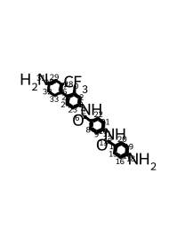 Cc1cc(NC(=O)c2ccc(NC(=O)c3ccc(N)cc3)cc2)ccc1C1=C(C(F)(F)F)C=C(N)CC1